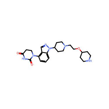 O=C1CCN(c2cccc3c2cnn3C2CCN(CCOC3CCNCC3)CC2)C(=O)N1